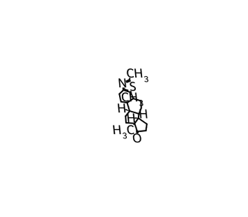 Cc1nc2c(s1)C1CC[C@@H]3[C@H](CC[C@]4(C)C(=O)CC[C@@H]34)[C@@]1(C)CC2